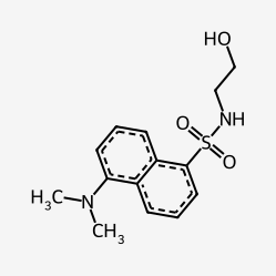 CN(C)c1cccc2c(S(=O)(=O)NCCO)cccc12